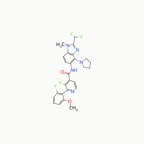 COc1cccc(F)c1-c1nccc(C(=O)Nc2ccc3c(nc(C(F)F)n3C)c2N2CCCC2)c1F